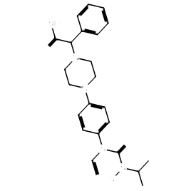 C=CN(C(=O)N(N)C(C)C)c1ccc(N2CCN(C(C(N)=O)c3ccccc3)CC2)cc1